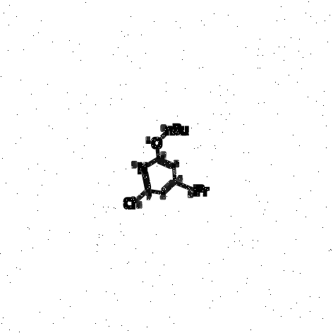 CCCCOc1cc(C(C)C)cc(Cl)n1